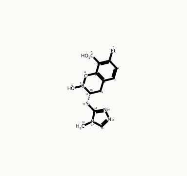 CCc1ccc2c(c1C(=O)O)OB(O)[C@@H](Sc1nncn1C)C2